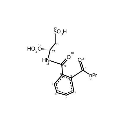 CCCC(=O)c1ccccc1C(=O)N[C@@H](CS(=O)(=O)O)C(=O)O